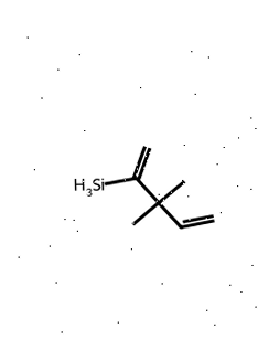 C=CC(C)(C)C(=C)[SiH3]